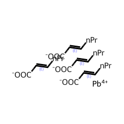 CCC/C=C/C(=O)[O-].CCC/C=C/C(=O)[O-].CCC/C=C/C(=O)[O-].CCC/C=C/C(=O)[O-].[Pb+4]